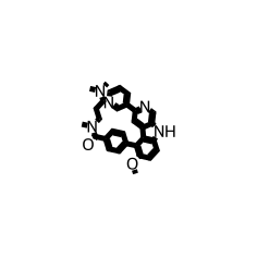 COc1ccc2[nH]c3cnc(-c4cccnc4)cc3c2c1-c1ccc(C(=O)N(C)CCCN(C)C)cc1